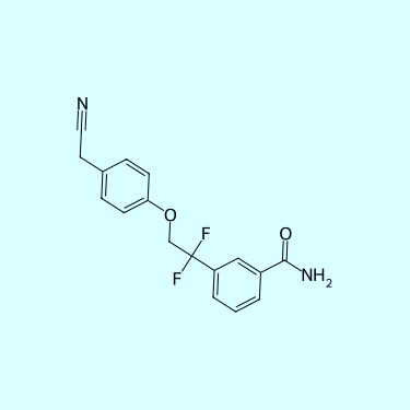 N#CCc1ccc(OCC(F)(F)c2cccc(C(N)=O)c2)cc1